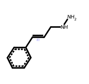 NNC/C=C/c1ccccc1